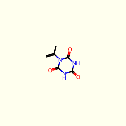 C=C(C)n1c(=O)[nH]c(=O)[nH]c1=O